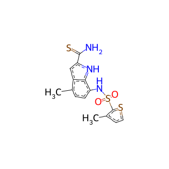 Cc1ccsc1S(=O)(=O)Nc1ccc(C)c2cc(C(N)=S)[nH]c12